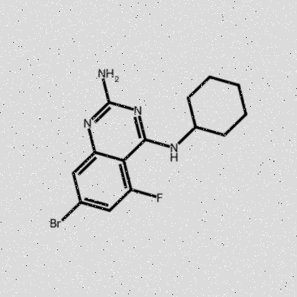 Nc1nc(NC2CCCCC2)c2c(F)cc(Br)cc2n1